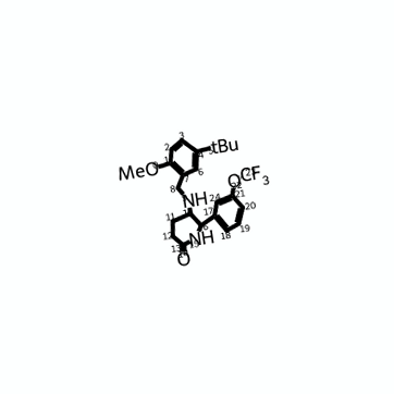 COc1ccc(C(C)(C)C)cc1CNC1CCC(=O)NC1c1cccc(OC(F)(F)F)c1